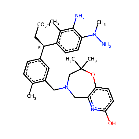 Cc1ccc([C@@H](CC(=O)O)c2ccc(N(C)N)c(N)c2C)cc1CN1Cc2nc(O)ccc2OC(C)(C)C1